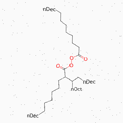 CCCCCCCCCCCCCCCCCC(=O)OOC(=O)C(CCCCCCCCCCCCCCCC)C(CCCCCCCC)CCCCCCCCCCC